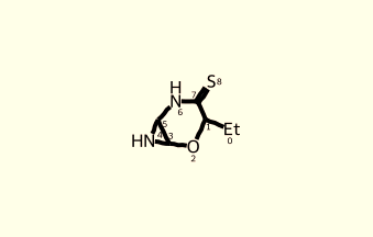 CCC1OC2NC2NC1=S